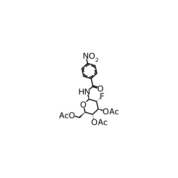 CC(=O)OC[C@H]1O[C@@H](NC(=O)c2ccc([N+](=O)[O-])cc2)[C@H](F)[C@@H](OC(C)=O)[C@@H]1OC(C)=O